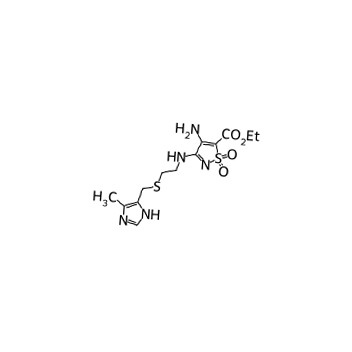 CCOC(=O)C1=C(N)C(NCCSCc2[nH]cnc2C)=NS1(=O)=O